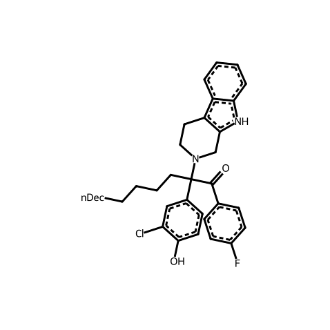 CCCCCCCCCCCCCCC(C(=O)c1ccc(F)cc1)(c1ccc(O)c(Cl)c1)N1CCc2c([nH]c3ccccc23)C1